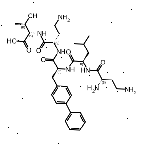 CC(C)C[C@@H](NC(=O)[C@@H](N)CCN)C(=O)N[C@@H](Cc1ccc(-c2ccccc2)cc1)C(=O)N[C@@H](CCN)C(=O)N[C@H](C(=O)O)[C@@H](C)O